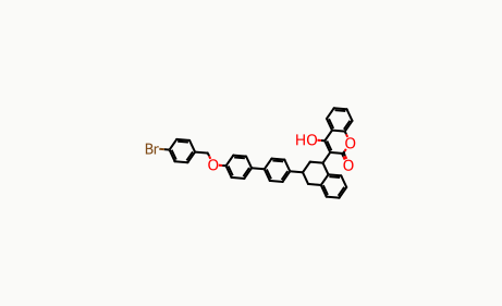 O=c1oc2ccccc2c(O)c1C1CC(c2ccc(-c3ccc(OCc4ccc(Br)cc4)cc3)cc2)Cc2ccccc21